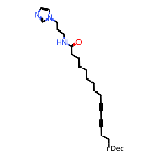 CCCCCCCCCCCCC#CC#CCCCCCCCCC(=O)NCCCn1ccnc1